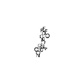 O=C(c1ccccc1OC(F)(F)F)N1CCC(N(C2CC2)S(=O)(=O)c2cccc3cnccc23)CC1